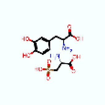 N[C@@H](CS(=O)(=O)O)C(=O)O.N[C@@H](Cc1ccc(O)c(O)c1)C(=O)O